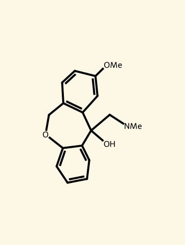 CNCC1(O)c2cc(OC)ccc2COc2ccccc21